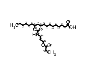 CCCCCCC(CCCCCCCCCCC(=O)O)OC(=O)NCCCOC(=O)CC